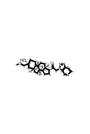 COC[C@@]1(O)CC[C@H]2[C@H](CC[C@@H]3[C@@H]2CC[C@]2(C)[C@@H](C(=O)Cn4nnc5ccncc54)CC[C@@H]32)C1